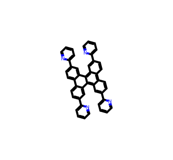 c1ccc(-c2ccc3c4ccc(-c5ccccn5)cc4c4c5cc(-c6ccccn6)ccc5c5ccc(-c6ccccn6)cc5c4c3c2)nc1